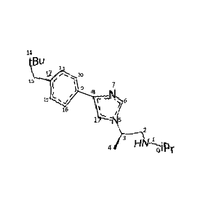 CC(C)NC[C@@H](C)n1cnc(-c2ccc(CC(C)(C)C)cc2)c1